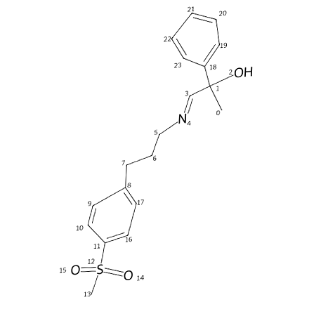 CC(O)(C=NCCCc1ccc(S(C)(=O)=O)cc1)c1ccccc1